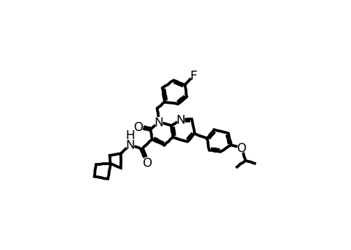 CC(C)Oc1ccc(-c2cnc3c(c2)cc(C(=O)NC2CC4(CCC4)C2)c(=O)n3Cc2ccc(F)cc2)cc1